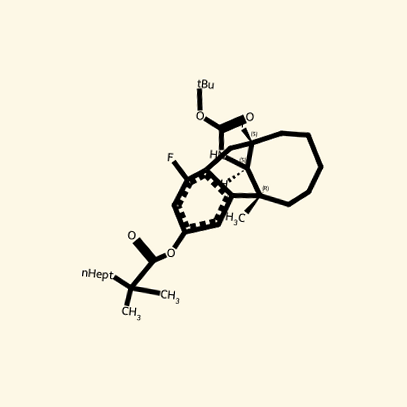 CCCCCCCC(C)(C)C(=O)Oc1cc(F)c2c(c1)[C@@]1(C)CCCCC[C@@H](C2)[C@@H]1NC(=O)OC(C)(C)C